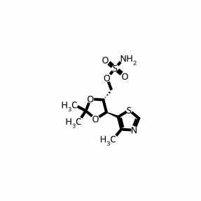 Cc1ncsc1[C@H]1OC(C)(C)O[C@@H]1COS(N)(=O)=O